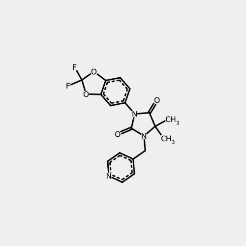 CC1(C)C(=O)N(c2ccc3c(c2)OC(F)(F)O3)C(=O)N1Cc1ccncc1